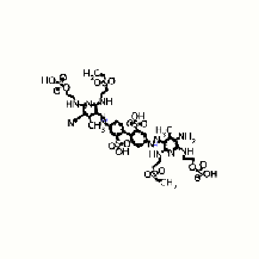 C=CS(=O)(=O)CCNc1nc(NCCOS(=O)(=O)O)c(N)c(C)c1/N=N/c1ccc(-c2ccc(/N=N/c3c(NCCS(=O)(=O)C=C)nc(NCCOS(=O)(=O)O)c(C#N)c3C)cc2S(=O)(=O)O)c(S(=O)(=O)O)c1